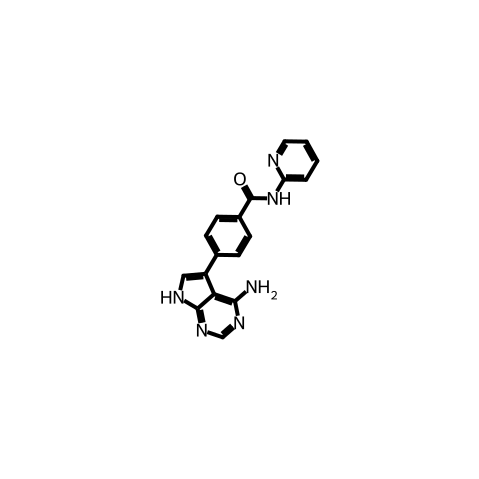 Nc1ncnc2[nH]cc(-c3ccc(C(=O)Nc4ccccn4)cc3)c12